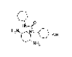 NC1CCC(NC(=O)NC2CCCCC2)CC1.N[C@H]1CC[C@H](N)CC1